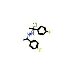 CC(N=NC(C)(Cl)c1ccc(F)cc1)c1ccc(F)cc1